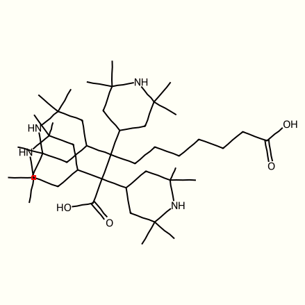 CC1(C)CC(C(CCCCCCC(=O)O)(C2CC(C)(C)NC(C)(C)C2)C(C(=O)O)(C2CC(C)(C)NC(C)(C)C2)C2CC(C)(C)NC(C)(C)C2)CC(C)(C)N1